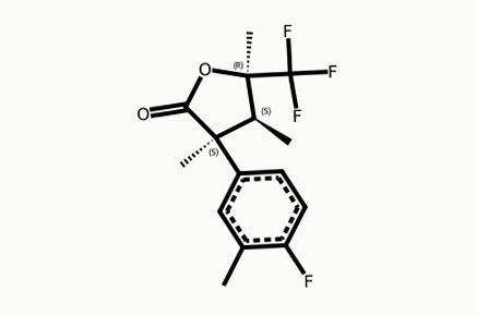 Cc1cc([C@@]2(C)C(=O)O[C@@](C)(C(F)(F)F)[C@H]2C)ccc1F